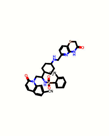 N#Cc1ccc2ccc(=O)n(CC(NS(=O)(=O)c3ccccc3[N+](=O)[O-])C3CCC(NCc4ccc5c(n4)NC(=O)CS5)CC3)c2c1